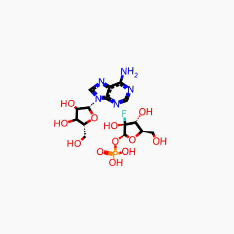 Nc1ncnc2c1ncn2[C@@H]1O[C@H](CO)C(O)C1O.O=P(O)(O)O[C@@H]1O[C@H](CO)[C@@H](O)[C@@]1(O)F